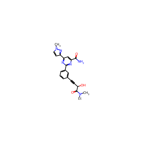 CCN(C)C(=O)C(O)C#Cc1cccc(-c2nc(C(N)=O)cc(-c3ccn(C)n3)n2)c1